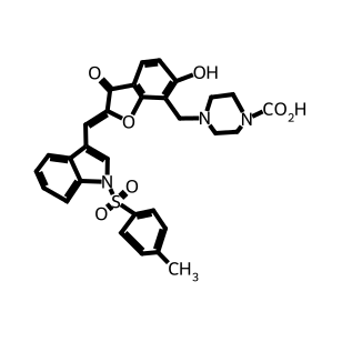 Cc1ccc(S(=O)(=O)n2cc(/C=C3\Oc4c(ccc(O)c4CN4CCN(C(=O)O)CC4)C3=O)c3ccccc32)cc1